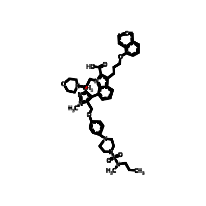 CCCN(C)S(=O)(=O)N1CCN(c2ccc(OCc3c(-c4cccc5c(CCCOc6cccc7ccccc67)c(C(=O)O)n(CCN6CCOCC6)c45)c(C)nn3C)cc2)CC1